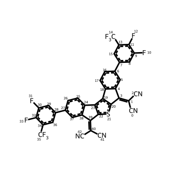 N#CC(C#N)=C1c2cc(-c3cc(F)c(F)c(C(F)(F)F)c3)ccc2-c2c1sc1c2-c2ccc(-c3cc(F)c(F)c(C(F)(F)F)c3)cc2C1=C(C#N)C#N